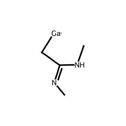 CN=C([CH2][Ga])NC